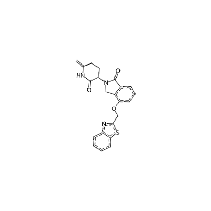 C=C1CCC(N2Cc3c(OCc4nc5ccccc5s4)cccc3C2=O)C(=O)N1